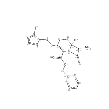 Cn1nnnc1SCC1=C(C(=O)OCc2ccccc2)N2C(=O)[C@@H](N)[C@@H]2SC1